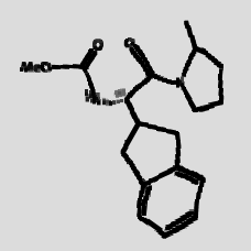 COC(=O)N[C@H](C(=O)N1CCCC1C)C1Cc2ccccc2C1